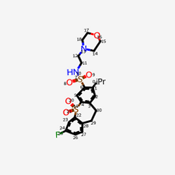 CC(C)c1cc2c(cc1S(=O)(=O)NCCN1CCOCC1)S(=O)(=O)c1cc(F)ccc1CC2